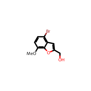 COc1ccc(Br)c2cc(CO)oc12